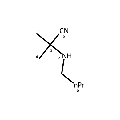 CCCCNC(C)(C)C#N